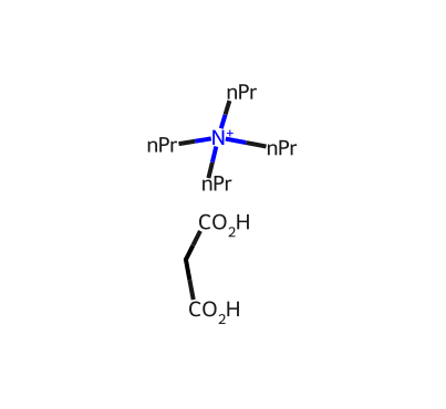 CCC[N+](CCC)(CCC)CCC.O=C(O)CC(=O)O